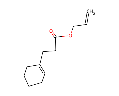 C=CCOC(=O)CCC1=CCCCC1